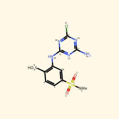 CNS(=O)(=O)c1ccc(S(=O)(=O)O)c(Nc2nc(N)nc(Cl)n2)c1